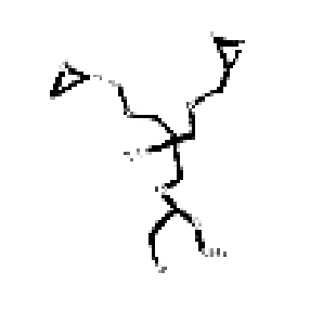 CC(COCC1CO1)(COC[C@@H]1CO1)COC(CO)ON